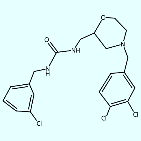 O=C(NCc1cccc(Cl)c1)NCC1CN(Cc2ccc(Cl)c(Cl)c2)CCO1